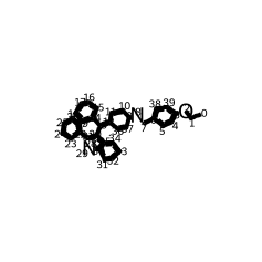 CCOc1ccc(CN=C2C=CC(=C(c3ccccc3)c3c(-c4ccccc4)n(C)c4ccccc34)C=C2)cc1